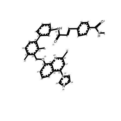 CNC(=O)c1ccc(/C=C/C(=O)Nc2cccc(-c3ccc(C)c(COc4cccc5c(-n6ccnc6)cc(C)nc45)c3C)c2)cc1